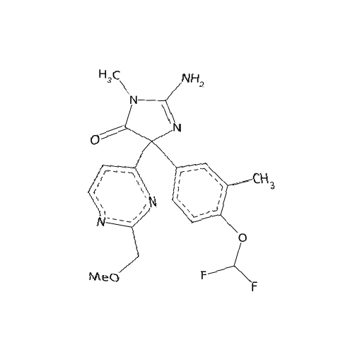 COCc1nccc(C2(c3ccc(OC(F)F)c(C)c3)N=C(N)N(C)C2=O)n1